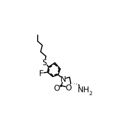 CCCCCSc1ccc(N2C[C@H](CN)OC2=O)cc1F